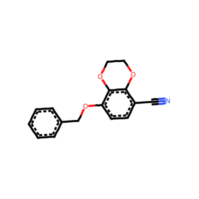 N#Cc1ccc(OCc2ccccc2)c2c1OCCO2